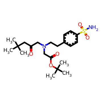 CC(C)(C)CC(=O)CN(CCc1ccc(S(N)(=O)=O)cc1)CC(=O)OC(C)(C)C